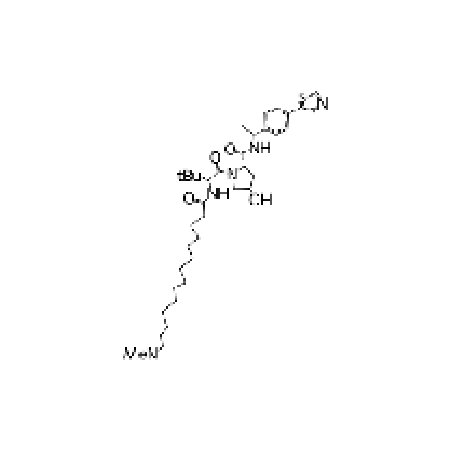 CNCCCCCCCCCCCCCC(=O)NC(C(=O)N1C[C@H](O)C[C@H]1C(=O)NC(C)c1ccc(-c2scnc2C)cc1)C(C)(C)C